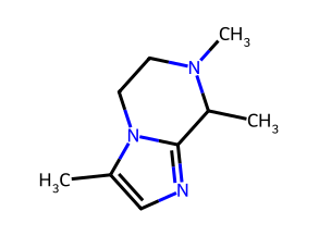 Cc1cnc2n1CCN(C)C2C